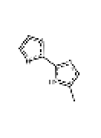 Cc1[c]nc(-c2ncc[nH]2)[nH]1